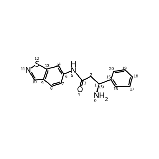 N[C@@H](CC(=O)Nc1ccc2cnsc2c1)c1ccccc1